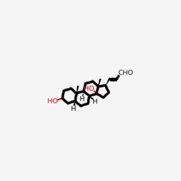 C[C@]12CC[C@H](O)C[C@H]1CC[C@@H]1[C@@H]2CC[C@]2(C)[C@@H](/C=C/C=O)CC[C@]12O